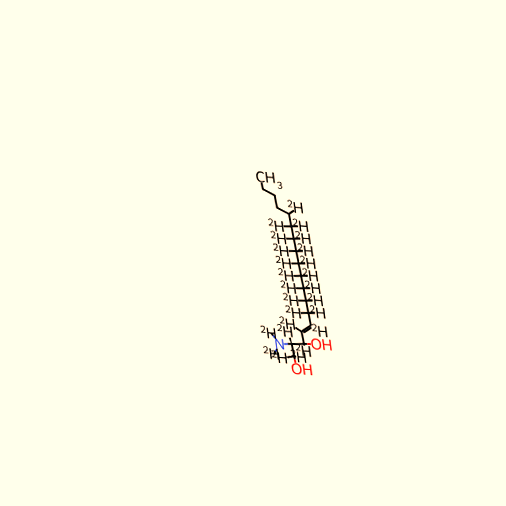 [2H]/C(=C(/[2H])[C@@]([2H])(O)[C@@]([2H])(N([2H])[2H])C([2H])([2H])O)C([2H])([2H])C([2H])([2H])C([2H])([2H])C([2H])([2H])C([2H])([2H])C([2H])([2H])C([2H])([2H])C([2H])([2H])C([2H])CCCC